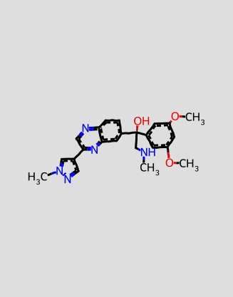 CNC[C@@](O)(c1cc(OC)cc(OC)c1)c1ccc2ncc(-c3cnn(C)c3)nc2c1